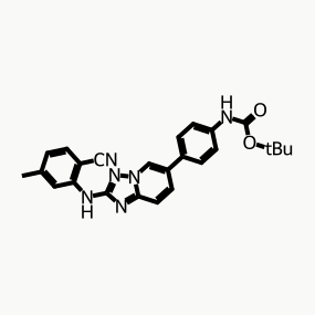 Cc1ccc(C#N)c(Nc2nc3ccc(-c4ccc(NC(=O)OC(C)(C)C)cc4)cn3n2)c1